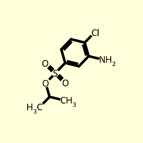 CC(C)OS(=O)(=O)c1ccc(Cl)c(N)c1